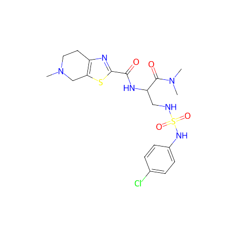 CN1CCc2nc(C(=O)NC(CNS(=O)(=O)Nc3ccc(Cl)cc3)C(=O)N(C)C)sc2C1